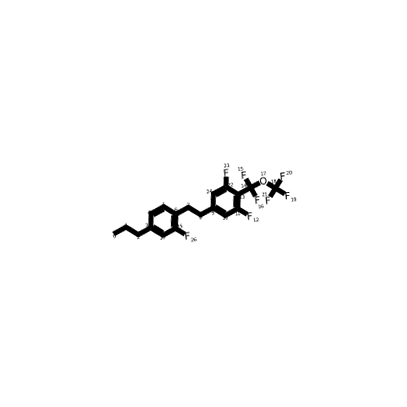 CCCc1ccc(CCc2cc(F)c(C(F)(F)OC(F)(F)F)c(F)c2)c(F)c1